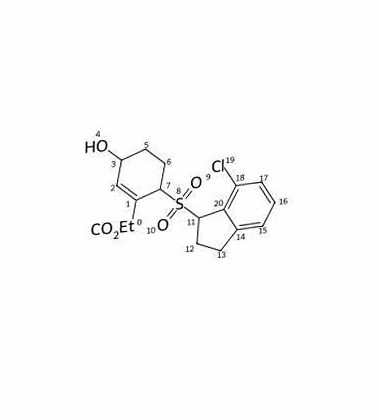 CCOC(=O)C1=CC(O)CCC1S(=O)(=O)C1CCc2cccc(Cl)c21